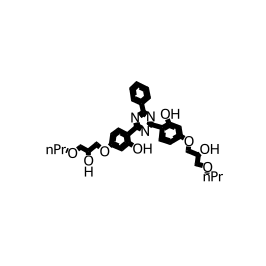 CCCOCC(O)COc1ccc(-c2nc(-c3ccccc3)nc(-c3ccc(OCC(O)COCCC)cc3O)n2)c(O)c1